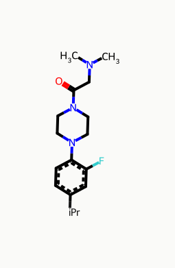 CC(C)c1ccc(N2CCN(C(=O)CN(C)C)CC2)c(F)c1